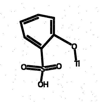 O=S(=O)(O)c1ccccc1[O][Tl]